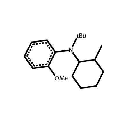 COc1ccccc1N(C1CCCCC1C)C(C)(C)C